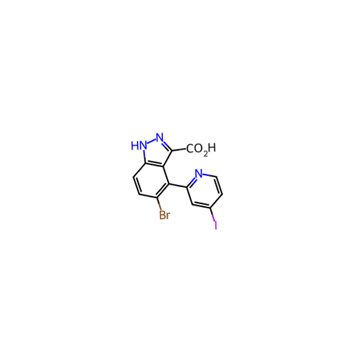 O=C(O)c1n[nH]c2ccc(Br)c(-c3cc(I)ccn3)c12